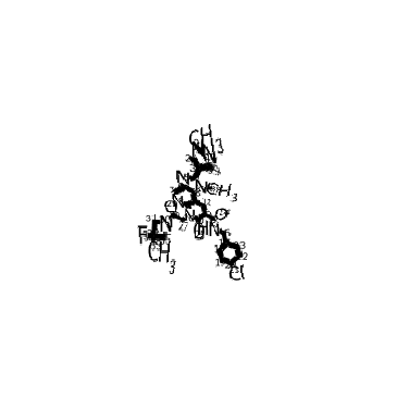 Cn1cc(-c2nc3cnc4c(cc(C(=O)NCc5ccc(Cl)cc5)c(=O)n4CC(=O)N4CC(C)(F)C4)c3n2C)cn1